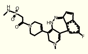 CNS(=O)(=O)CC(=O)N1CC=C(C2=C3NN=C4C=Cc5cc(F)cc(c54)C3=CN(C)C2)CC1